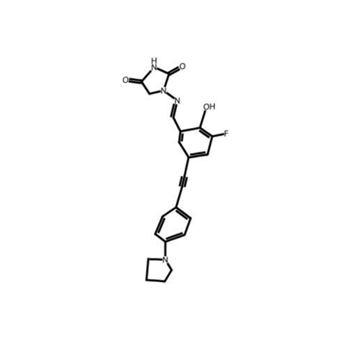 O=C1CN(N=Cc2cc(C#Cc3ccc(N4CCCC4)cc3)cc(F)c2O)C(=O)N1